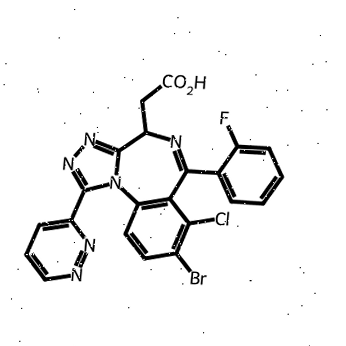 O=C(O)CC1N=C(c2ccccc2F)c2c(ccc(Br)c2Cl)-n2c(-c3cccnn3)nnc21